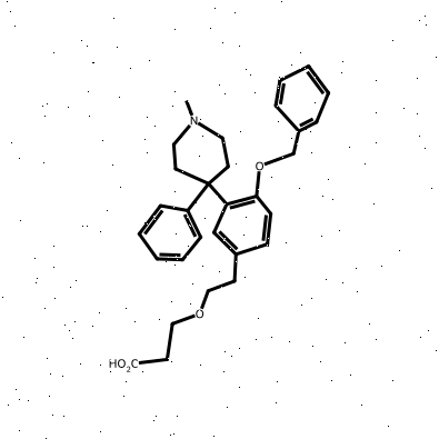 CN1CCC(c2ccccc2)(c2cc(CCOCCC(=O)O)ccc2OCc2ccccc2)CC1